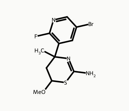 COC1CC(C)(c2cc(Br)cnc2F)N=C(N)S1